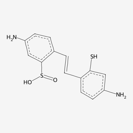 Nc1ccc(/C=C/c2ccc(N)cc2S(=O)O)c(S)c1